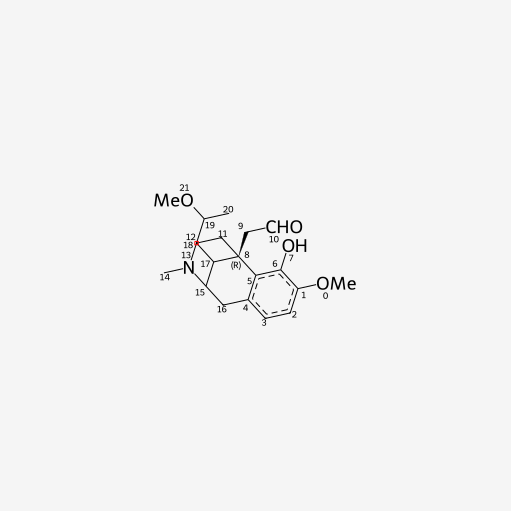 COc1ccc2c(c1O)[C@@]1(CC=O)CCN(C)C(C2)C1CC(C)OC